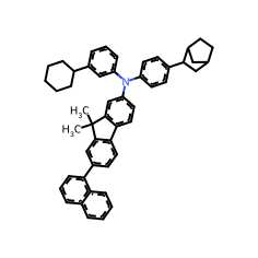 CC1(C)c2cc(-c3cccc4ccccc34)ccc2-c2ccc(N(c3ccc(C4CC5CCC4C5)cc3)c3cccc(C4CCCCC4)c3)cc21